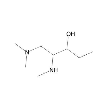 CCC(O)C(CN(C)C)NC